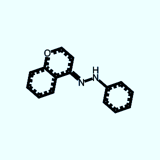 c1ccc(NN=c2ccoc3ccccc23)cc1